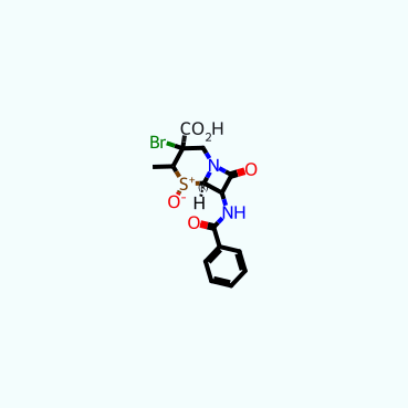 CC1[S+]([O-])[C@@H]2C(NC(=O)c3ccccc3)C(=O)N2CC1(Br)C(=O)O